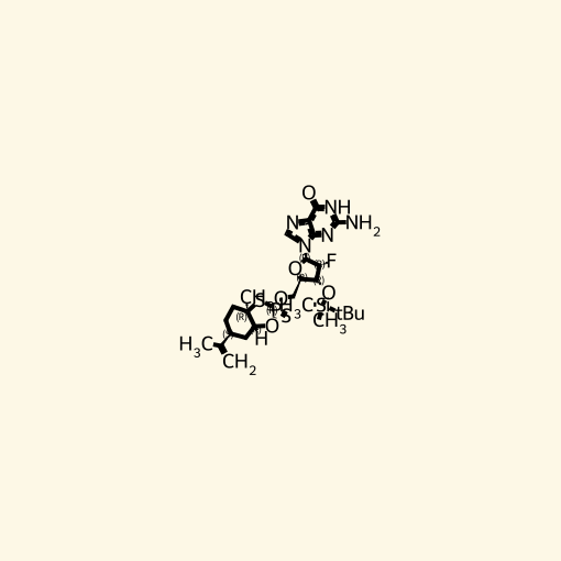 C=C(C)[C@H]1CC[C@@]2(C)S[P@](=S)(OC[C@H]3O[C@@H](n4cnc5c(=O)[nH]c(N)nc54)[C@H](F)[C@@H]3O[Si](C)(C)C(C)(C)C)O[C@@H]2C1